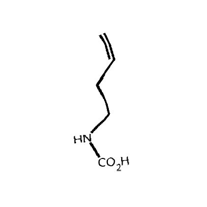 C=CCCNC(=O)O